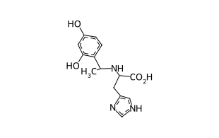 CC(NC(Cc1c[nH]cn1)C(=O)O)c1ccc(O)cc1O